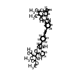 CC[C@H](C)[C@H](NC(=O)OC)C(=O)N1CCC[C@H]1c1ncc(-c2ccc(C#Cc3ccc4nc([C@@H]5CC6(CC6)CN5C(=O)[C@@H](C)C(C)C)[nH]c4c3)cc2)[nH]1